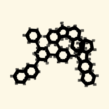 c1ccc(-c2nc(-c3ccc4ccccc4c3)nc(-c3ccc(-n4c5ccccc5c5cc6ccccc6cc54)cc3-c3cccc4sc5ccc6ccccc6c5c34)n2)cc1